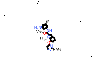 CNc1nccc(Oc2cccc3cc(C(=O)Nc4cc(C(C)(C)C)cc(N)c4OC)n(C)c23)n1